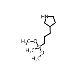 CO[Si](C)(CCCC1CCNC1)OC